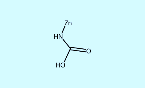 O=C(O)[NH][Zn]